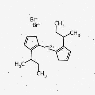 CCC(C)C1=[C]([Ti+2][C]2=C(C(C)CC)C=CC2)CC=C1.[Br-].[Br-]